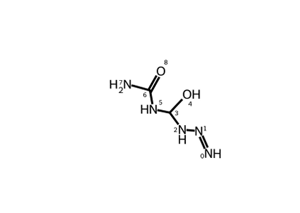 N=NNC(O)NC(N)=O